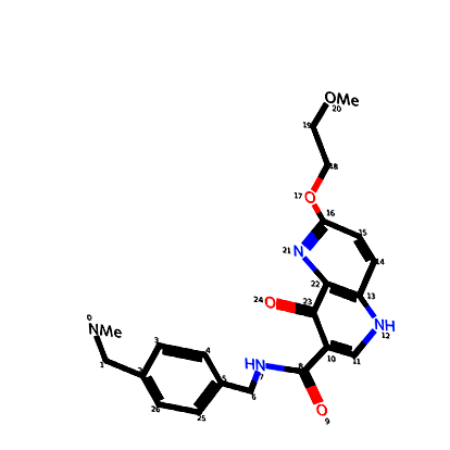 CNCc1ccc(CNC(=O)c2c[nH]c3ccc(OCCOC)nc3c2=O)cc1